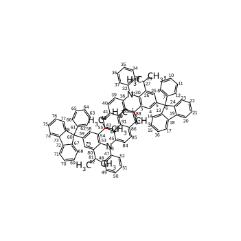 CC(C)c1cc(C2(c3ccccc3)c3ccccc3-c3ccccc32)cc(C(C)C)c1N(c1ccccc1)c1ccc2ccc3c(N(c4ccccc4)c4c(C(C)C)cc(C5(c6ccccc6)c6ccccc6-c6ccccc65)cc4C(C)C)ccc4ccc1c2c43